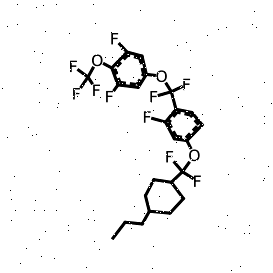 CCCC1CCC(C(F)(F)Oc2ccc(C(F)(F)Oc3cc(F)c(OC(F)(F)F)c(F)c3)c(F)c2)CC1